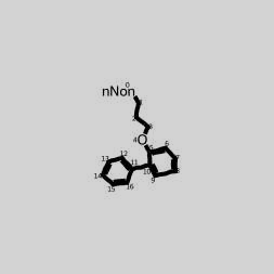 CCCCCCCCCCCCOc1ccccc1-c1ccccc1